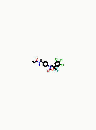 CCC(=O)NC(C)c1ccc(N2CC(c3cc(Cl)c(Cl)c(Cl)c3)(C(F)(F)F)OC2=O)cc1